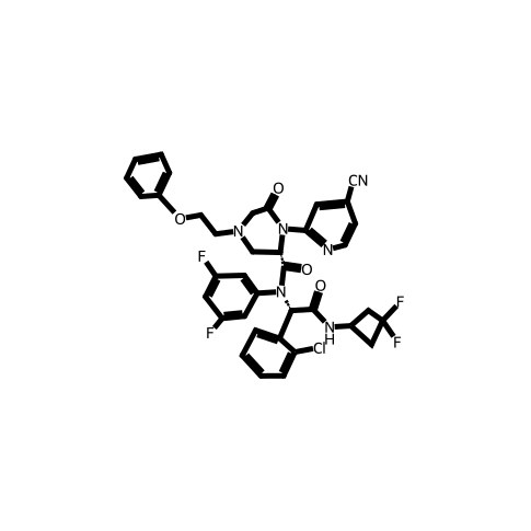 N#Cc1ccnc(N2C(=O)CN(CCOc3ccccc3)C[C@H]2C(=O)N(c2cc(F)cc(F)c2)[C@H](C(=O)NC2CC(F)(F)C2)c2ccccc2Cl)c1